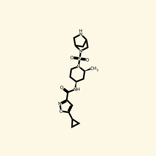 C[C@H]1C[C@@H](NC(=O)c2cc(C3CC3)on2)CCN1S(=O)(=O)N1CC2CC1CN2